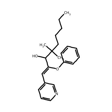 CCCCCC(C)(C)C(O)C(=Cc1cccnc1)Oc1ccccc1